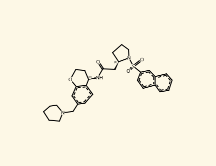 O=C(C[C@H]1CCCN1S(=O)(=O)c1ccc2ccccc2c1)N[C@@H]1CCOc2cc(CN3CCCCC3)ccc21